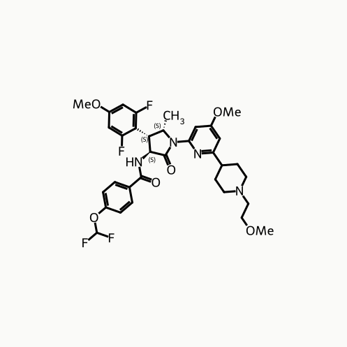 COCCN1CCC(c2cc(OC)cc(N3C(=O)[C@@H](NC(=O)c4ccc(OC(F)F)cc4)[C@H](c4c(F)cc(OC)cc4F)[C@@H]3C)n2)CC1